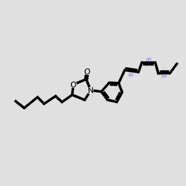 C\C=C/C=C\C=C\c1cccc(N2CC(CCCCCC)OC2=O)c1